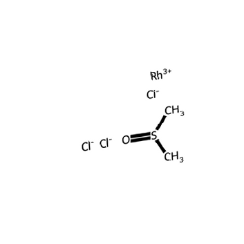 CS(C)=O.[Cl-].[Cl-].[Cl-].[Rh+3]